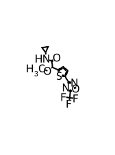 CO[C@@H](C(=O)NC1CC1)c1ccc(-c2noc(C(F)(F)F)n2)s1